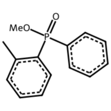 COP(=O)(c1ccccc1)c1ccccc1C